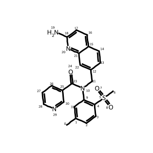 Cc1ccc(S(C)(=O)=O)c(N(Cc2ccc3ccc(N)nc3c2)C(=O)c2cccnc2)c1